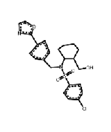 O=S(=O)(c1ccc(Cl)cc1)N(Cc1ccc(-c2ncco2)cc1)C1CCCCC1CO